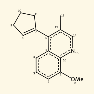 COc1cccc2c(C3=CCCC3)c(C)cnc12